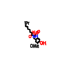 COc1cc(CNC(=O)CCCCC=CC(C)C)ccc1O.O.O